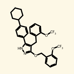 FC(F)(F)Oc1ccccc1COc1n[nH]c(-c2ccc(C3CC[CH]CC3)cc2)c1Cc1ccccc1OC(F)(F)F